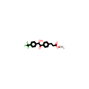 COC(=O)CCc1ccc(C(=O)C(O)c2ccc(C(F)(F)F)cc2)cc1